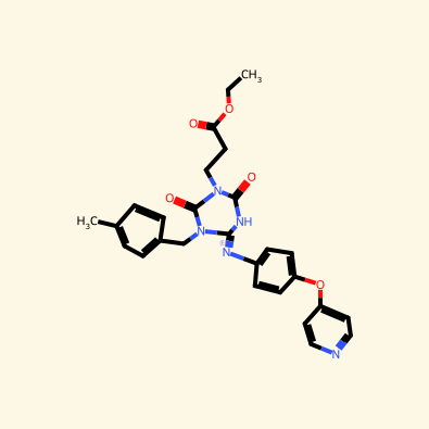 CCOC(=O)CCn1c(=O)[nH]/c(=N\c2ccc(Oc3ccncc3)cc2)n(Cc2ccc(C)cc2)c1=O